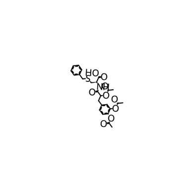 CC(=O)Oc1ccc(CC(OC(C)=O)C(=O)N[C@@H](CSCc2ccccc2)C(=O)O)cc1OC(C)=O